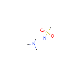 CN(C)/C=N/S(C)(=O)=O